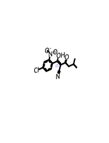 CC(C)CC(=O)/C(C#N)=C(\O)c1ccc(Cl)cc1[N+](=O)[O-]